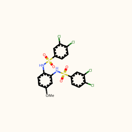 COc1ccc(NS(=O)(=O)c2ccc(Cl)c(Cl)c2)c(NS(=O)(=O)c2ccc(Cl)c(Cl)c2)c1